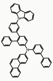 c1ccc(-c2cccc(N(c3ccc(-c4cccc(-n5c6ccccc6c6ccccc65)c4)c(-c4ccccc4)c3)c3ccc4c(ccc5ccccc54)c3)c2)cc1